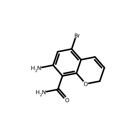 NC(=O)c1c(N)cc(Br)c2c1OCC=C2